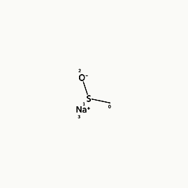 CS[O-].[Na+]